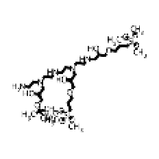 CO[Si](CCCOCC(O)CNCCN(CCNCCN(CCN)CC(O)COC(C)(C)C)CC(O)COCCC[Si](OC)(OC)OC)(OC)OC